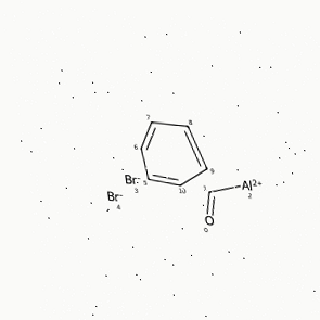 O=[CH][Al+2].[Br-].[Br-].c1ccccc1